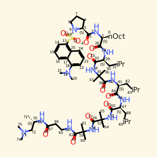 CCCCCCCC[C@H](NC(=O)[C@@H]1CCCN1S(=O)(=O)c1cccc2c(N(C)C)cccc12)C(=O)N[C@@H](CC(C)C)C(=O)NC(C)(C)C(=O)N[C@@H](CC(C)C)C(=O)N[C@@H](CC(C)C)C(=O)NC(C)(C)C(=O)NC(C)(C)C(=O)NCCC(=O)N[C@@H](C)CN(C)C